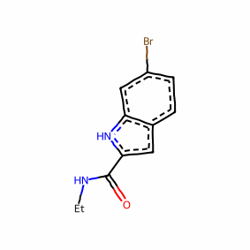 CCNC(=O)c1cc2ccc(Br)cc2[nH]1